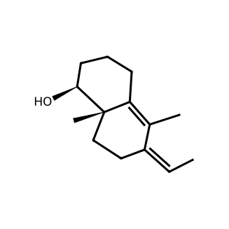 C/C=C1/CC[C@@]2(C)C(=C1C)CCC[C@@H]2O